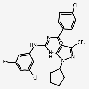 O=C(/N=C(/Nc1cc(F)cc(Cl)c1)Nc1cc(C(F)(F)F)nn1C1CCCC1)c1ccc(Cl)cc1